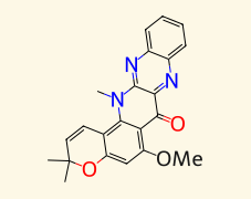 COc1cc2c(c3c1c(=O)c1nc4ccccc4nc1n3C)C=CC(C)(C)O2